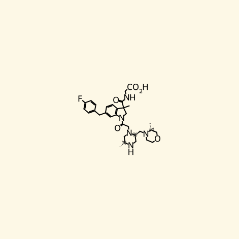 C[C@@H]1CN(CC(=O)N2CC(C)(C(=O)NCC(=O)O)c3ccc(Cc4ccc(F)cc4)cc32)[C@@H](CN2CCOC[C@H]2C)CN1